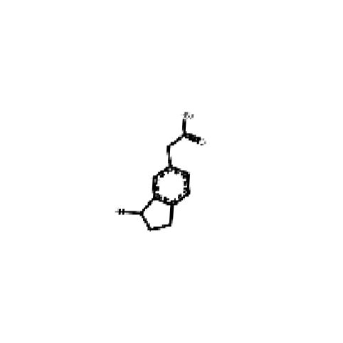 [2H]C1CCc2ccc(CC(=O)C(C)(C)C)cc21